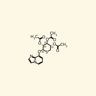 CC(=O)O[C@@H]1[C@@H](OC(C)=O)[C@H](OC(C)=O)CS[C@H]1Oc1cccn2ccnc12